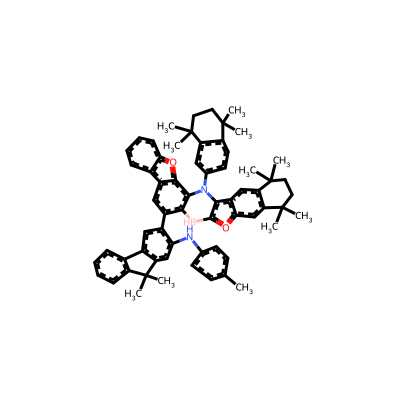 Cc1ccc(Nc2cc3c(cc2-c2cc4c(oc5ccccc54)c4c2Bc2oc5cc6c(cc5c2N4c2ccc4c(c2)C(C)(C)CCC4(C)C)C(C)(C)CCC6(C)C)-c2ccccc2C3(C)C)cc1